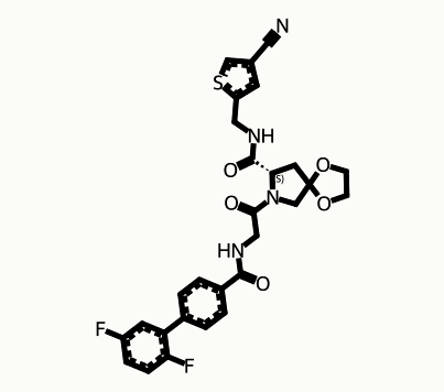 N#Cc1csc(CNC(=O)[C@@H]2CC3(CN2C(=O)CNC(=O)c2ccc(-c4cc(F)ccc4F)cc2)OCCO3)c1